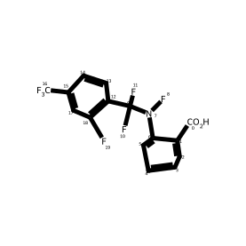 O=C(O)c1ccccc1N(F)C(F)(F)c1ccc(C(F)(F)F)cc1F